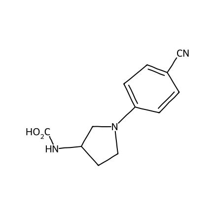 N#Cc1ccc(N2CCC(NC(=O)O)C2)cc1